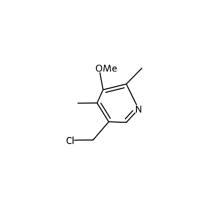 COc1c(C)ncc(CCl)c1C